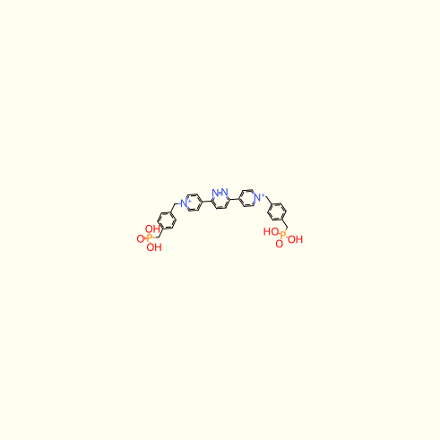 O=P(O)(O)Cc1ccc(C[n+]2ccc(-c3ccc(-c4cc[n+](Cc5ccc(CP(=O)(O)O)cc5)cc4)nn3)cc2)cc1